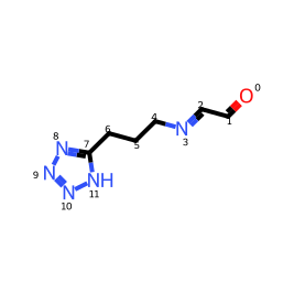 O=CC=NCCCc1nnn[nH]1